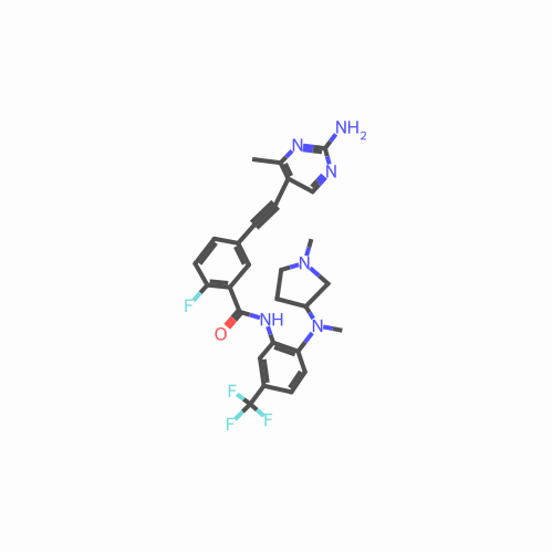 Cc1nc(N)ncc1C#Cc1ccc(F)c(C(=O)Nc2cc(C(F)(F)F)ccc2N(C)C2CCN(C)C2)c1